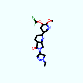 CCN1CC(N2CC3=NC(C4C=NC(OC)C(OC(F)F)C4)CCC3C2=O)C=N1